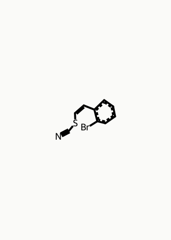 N#CS/C=C\c1ccccc1Br